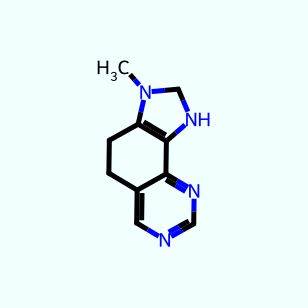 CN1CNC2=C1CCc1cncnc12